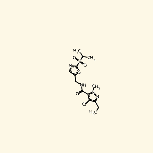 CCc1nn(C)c(C(=O)NCc2cnc(S(=O)(=O)C(C)C)s2)c1Cl